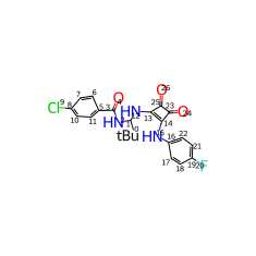 CC(C)(C)C(NC(=O)c1ccc(Cl)cc1)Nc1c(Nc2ccc(F)cc2)c(=O)c1=O